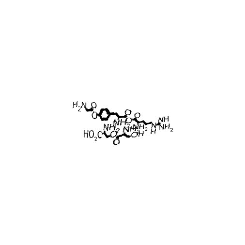 N=C(N)NCCC[C@H](N)C(=O)OC(=O)[C@@H](N)Cc1ccc(OC(=O)CN)cc1.N[C@@H](COC(=O)[C@@H](N)CO)C(=O)O